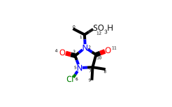 CC(N1C(=O)N(Cl)C(C)(C)C1=O)S(=O)(=O)O